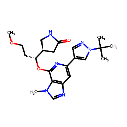 COCC[C@@H](Oc1nc(-c2cnn(C(C)(C)C)c2)cc2ncn(C)c12)[C@H]1CNC(=O)C1